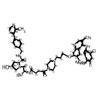 COc1cc(Nc2c(C#N)cnc3cc(OCCCN4CCN(C(=O)CCC(=O)N[C@H](C(=O)N5C[C@H](O)C[C@H]5C(=O)NCc5ccc(-c6scnc6C)cc5)C(C)(C)C)CC4)c(OC)cc23)c(Cl)cc1Cl